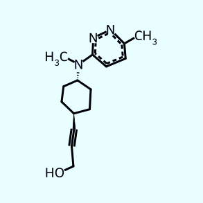 Cc1ccc(N(C)[C@H]2CC[C@H](C#CCO)CC2)nn1